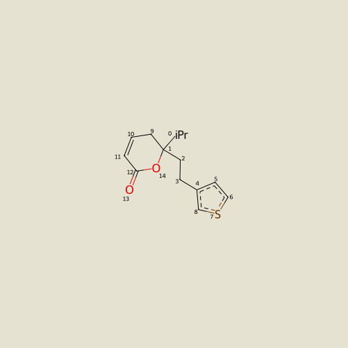 CC(C)C1(CCc2ccsc2)CC=CC(=O)O1